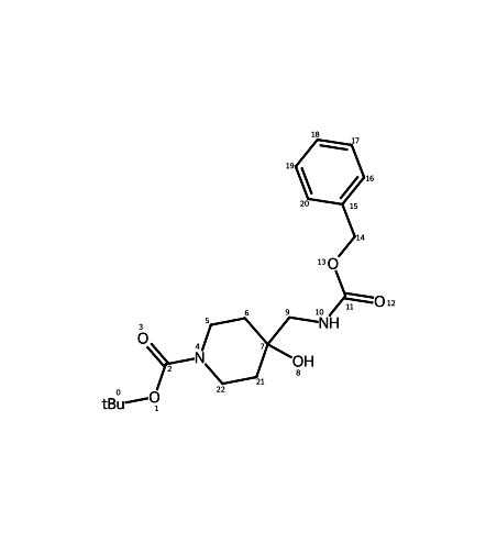 CC(C)(C)OC(=O)N1CCC(O)(CNC(=O)OCc2ccccc2)CC1